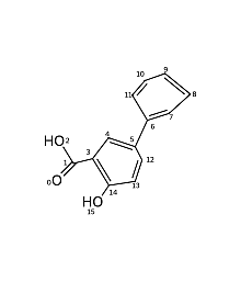 O=C(O)c1cc(-c2ccccc2)ccc1O